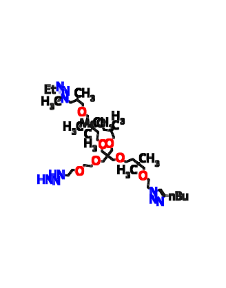 CCCCc1cn(CCOCC(C)(C)CCOCC(COCCOCCNN=N)(COCCC(C)(C)C(C)COCC(C)CN(C)/N=N\CC)COCC(C)COC)nn1